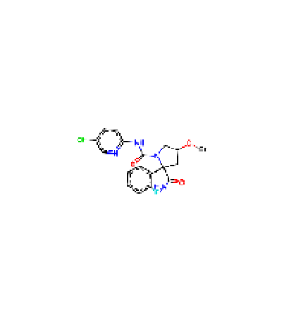 CCOC1CN(C(=O)Nc2ccc(Cl)cn2)C(C(N)=O)(c2ccccc2F)C1